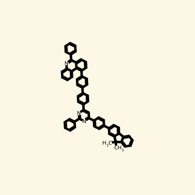 CC1(C)c2ccccc2-c2ccc(-c3ccc(-c4cc(-c5ccc(-c6ccc(-c7cccc8c(-c9ccccc9)nc9ccccc9c78)cc6)cc5)nc(-c5ccccc5)n4)cc3)cc21